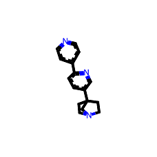 c1cc(-c2ccc(C34CCN(CC3)C4)cn2)ccn1